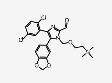 C[Si](C)(C)CCOCn1c(C=O)nc(-c2cc(Cl)ccc2Cl)c1-c1ccc2c(c1)OCO2